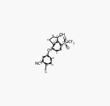 N#Cc1cc(Oc2ccc(S(=O)(=O)C(F)(F)F)c3c2CCC3O)ccc1F